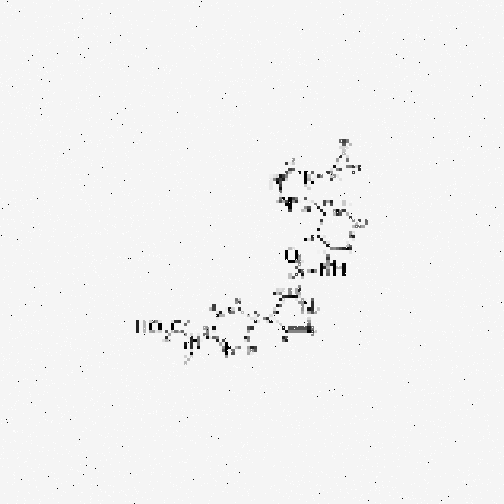 CN(C(=O)O)c1ccc(-c2ccnc(C(=O)Nc3cccc(-c4nncn4C4CC4)c3)c2)cn1